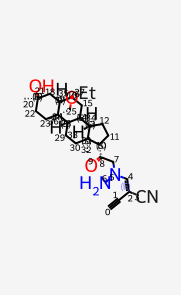 C#C/C(C#N)=C\N(N)CC(=O)[C@H]1CC[C@H]2[C@@H]3CC[C@@H]4C[C@](C)(O)CC[C@]4(COCC)[C@H]3CC[C@]12C